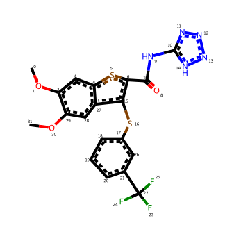 COc1cc2sc(C(=O)Nc3nnn[nH]3)c(Sc3cccc(C(F)(F)F)c3)c2cc1OC